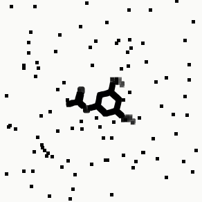 CC(=O)OC1CC(N)CC(N)C1